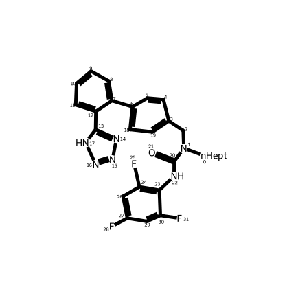 CCCCCCCN(Cc1ccc(-c2ccccc2-c2nnn[nH]2)cc1)C(=O)Nc1c(F)cc(F)cc1F